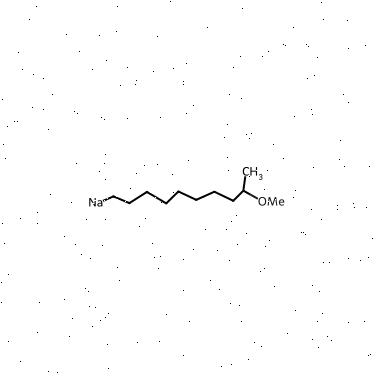 COC(C)CCCCCCC[CH2][Na]